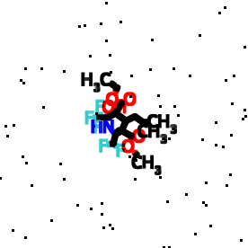 CCOC(=O)C1=C(C(F)F)NC(O)(C(F)(F)F)C(C(=O)OCC)C1CC(C)C